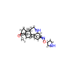 C[C@]12CC/C(=N\O[C@@H]3CCNC3)CC1NCC[C@@H]1[C@@H]2CC[C@]2(C)C(=O)CC[C@@H]12